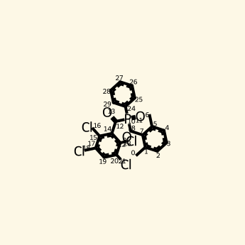 Cc1cccc(C)c1C(=O)P(=O)(C(=O)c1c(Cl)c(Cl)cc(Cl)c1Cl)c1ccccc1